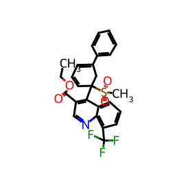 CCOC(=O)c1cnc2c(C(F)(F)F)cccc2c1C1(S(C)(=O)=O)C=CC=C(c2ccccc2)C1